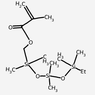 C=C(C)C(=O)OC[Si](C)(C)O[Si](C)(C)O[Si](C)(C)CC